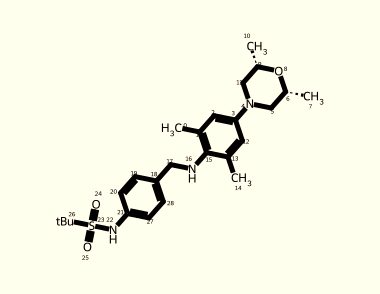 Cc1cc(N2C[C@@H](C)O[C@@H](C)C2)cc(C)c1NCc1ccc(NS(=O)(=O)C(C)(C)C)cc1